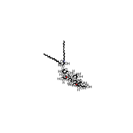 CCCCCCCCCCCCC/C=C/[C@@H](O)[C@H](CO[C@@H]1OC(CO)[C@@H](O[C@@H]2OC(CO)[C@H](O)[C@H](O[C@@H]3OC(CO)[C@@H](O[C@@H]4OC(CO)[C@H](O)[C@H](O[C@]5(C(=O)O)CC(O)[C@@H](O)C([C@H](O)[C@H](O)CO)O5)C4O)[C@H](O[C@H]4OC(C)[C@@H](O)C(O)[C@@H]4O)C3NC(C)=O)C2O)[C@H](O)C1O)NC(=O)CCCCCCCCCCCCCCC